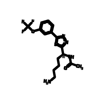 CC(=O)N[C@@H](CCCCN)c1nnc(-c2cccc(OC(F)(F)F)c2)s1